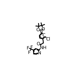 CC1(C)OB(c2ccc(CC(=O)Nc3cc(C(F)(F)F)ccn3)c(Cl)c2)OC1(C)C